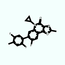 Cc1nc2c(=O)n(C3CC3)c3cc(-c4cc(F)c(C)cc4F)c(F)cc3c2o1